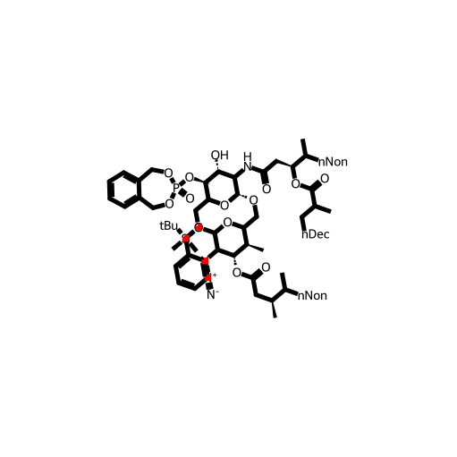 CCCCCCCCCCCC(C)C(=O)O[C@@H](CC(=O)NC1[C@H](OCC2OC(O[Si](C)(C)C(C)(C)C)C(N=[N+]=[N-])[C@@H](OC(=O)C[C@H](C)C(C)CCCCCCCCC)[C@@H]2C)OC(COCc2ccccc2)[C@@H](OP2(=O)OCc3ccccc3CO2)[C@@H]1O)C(C)CCCCCCCCC